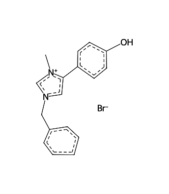 C[n+]1cn(Cc2ccccc2)cc1-c1ccc(O)cc1.[Br-]